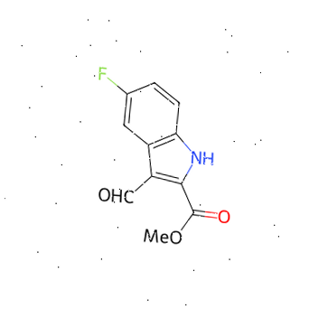 COC(=O)c1[nH]c2ccc(F)cc2c1C=O